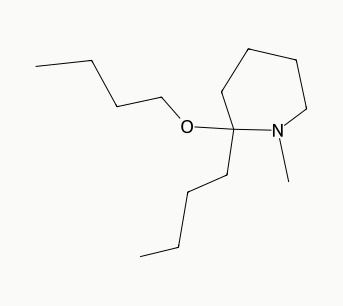 CCCCOC1(CCCC)CCCCN1C